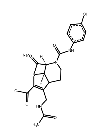 CC(=O)NCC1=C(C(=O)[O-])N2C(=O)[C@@H]3[C@H]2C1CCN3C(=O)Nc1ccc(O)cc1.[Na+]